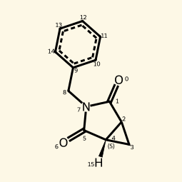 O=C1C2C[C@@H]2C(=O)N1Cc1ccccc1